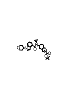 CC(C)(C)OC(=O)n1cc2c(n1)CCC(N(C(=O)c1cccc3c1ccn3C1CCOCC1)C1CC1)C2